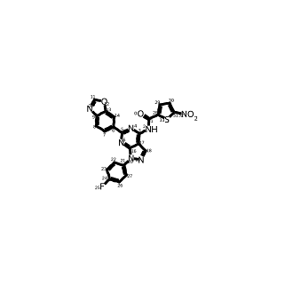 O=C(Nc1nc(-c2ccc3ncoc3c2)nc2c1cnn2-c1ccc(F)cc1)c1ccc([N+](=O)[O-])s1